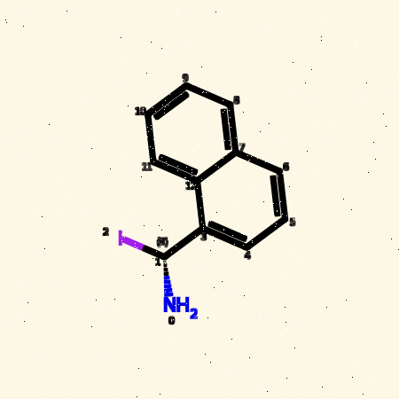 N[C@H](I)c1cccc2ccccc12